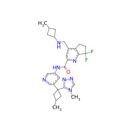 CC1CC(NCc2cc(C(=O)Nc3cncc(C4(c5nncn5C)CC(C)C4)c3)nc3c2CCC3(F)F)C1